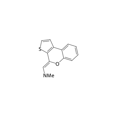 CN/C=C1\Oc2ccccc2-c2ccsc21